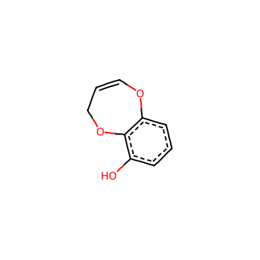 Oc1cccc2c1OCC=CO2